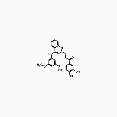 COc1cc(Nc2nc(SCC(=O)c3ccc(O)c(O)c3)nc3ccccc23)cc(OC)c1